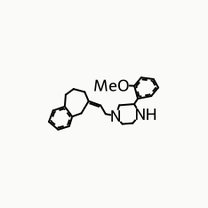 COc1ccccc1C1CN(CC=C2CCCc3ccccc3C2)CCN1